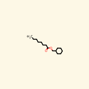 [CH2]CCCCCCC(=O)OCC1CCCCC1